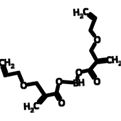 C=CCOCC(=C)C(=O)OBOC(=O)C(=C)COCC=C